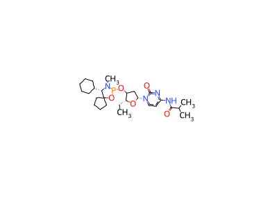 CC[C@H]1O[C@@H](n2ccc(NC(=O)C(C)C)nc2=O)CC1O[P@]1OC2(CCCC2)[C@H](C2CCCCC2)N1C